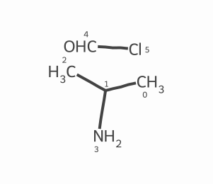 CC(C)N.O=CCl